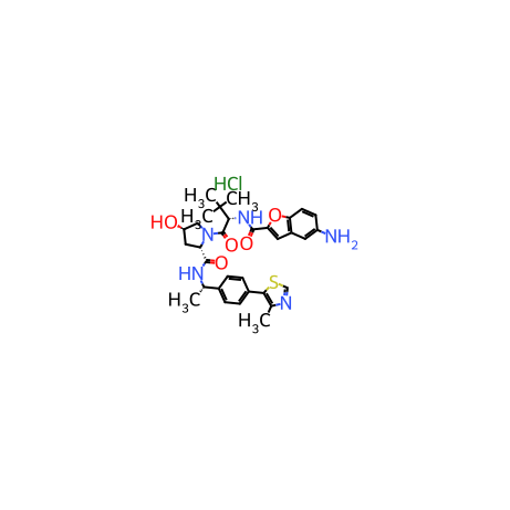 Cc1ncsc1-c1ccc([C@H](C)NC(=O)[C@@H]2C[C@@H](O)CN2C(=O)[C@@H](NC(=O)c2cc3cc(N)ccc3o2)C(C)(C)C)cc1.Cl